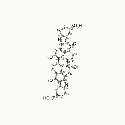 O=c1c2ccc3c4c(O)cc5c6c(ccc(c7c(O)cc(c2c37)c2nc3ccc(S(=O)(=O)O)cc3n12)c46)c(=O)n1c2cc(S(=O)(=O)O)ccc2nc51